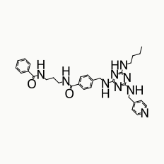 CCCCNc1nc(NCc2ccncc2)nc(NCc2ccc(C(=O)NCCCNC(=O)c3ccccc3)cc2)n1